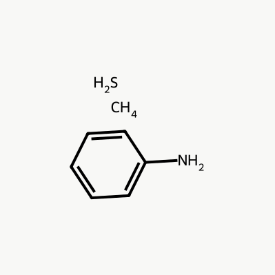 C.Nc1ccccc1.S